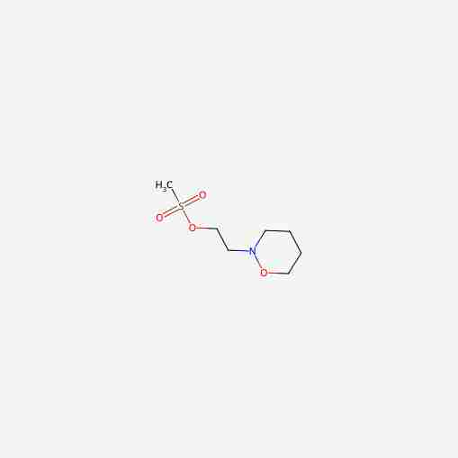 CS(=O)(=O)OCCN1CCCCO1